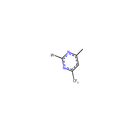 Cc1cc(C(F)(F)F)nc(C(C)C)n1